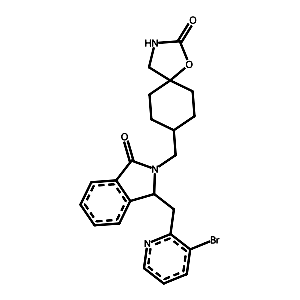 O=C1NCC2(CCC(CN3C(=O)c4ccccc4C3Cc3ncccc3Br)CC2)O1